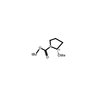 CO[C@H]1CCCN1C(=O)OC(C)(C)C